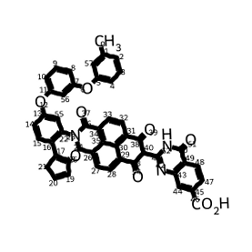 Cc1cccc(Oc2cccc(Oc3ccc(C4=CC=CC4)c(N4C(=O)c5ccc6c7c(ccc(c57)C4=O)C(=O)C(c4nc5cc(C(=O)O)ccc5c(=O)[nH]4)C6=O)c3)c2)c1